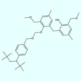 COCc1cc(C)cc(Cc2cc(C)cc(COC)c2OCOCc2ccc(C(CC(C)(C)C)C(C)(C)C)cc2)c1O